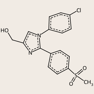 CS(=O)(=O)c1ccc(-c2nc(CO)cn2-c2ccc(Cl)cc2)cc1